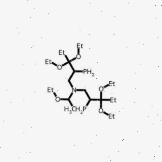 CCOC(C)N(CC(P)C(CC)(OCC)OCC)CC(P)C(CC)(OCC)OCC